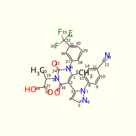 Cc1c(-c2ccnn2-c2ccc(C#N)cc2)c(=O)n(C(C)C(=O)O)c(=O)n1-c1cccc(C(F)(F)F)c1